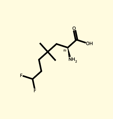 CC(C)(CCC(F)F)C[C@H](N)C(=O)O